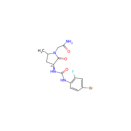 CC1C[C@H](NC(=O)Nc2ccc(Br)cc2F)C(=O)N1CC(N)=O